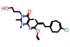 C=COC(=N/C1=C(C)C(=O)N(CCCO)C(C)N1C)/C(C)=C\CC1=CCC=C(Cl)CC1